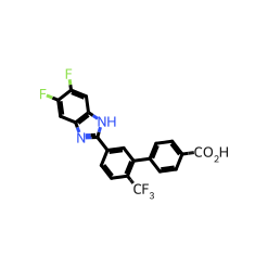 O=C(O)c1ccc(-c2cc(-c3nc4cc(F)c(F)cc4[nH]3)ccc2C(F)(F)F)cc1